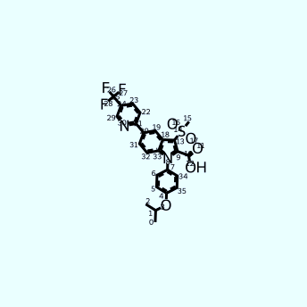 CC(C)Oc1ccc(-n2c(C(=O)O)c(S(C)(=O)=O)c3cc(-c4ccc(C(F)(F)F)cn4)ccc32)cc1